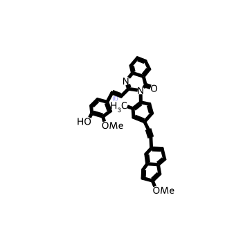 COc1ccc2cc(C#Cc3ccc(-n4c(/C=C/c5ccc(O)c(OC)c5)nc5ccccc5c4=O)c(C)c3)ccc2c1